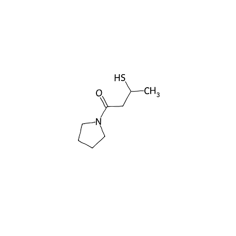 CC(S)CC(=O)N1CCCC1